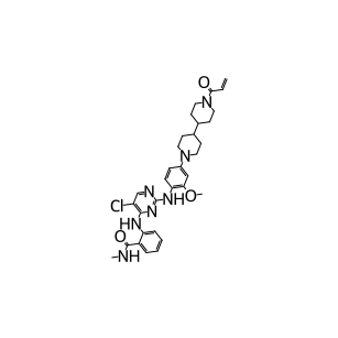 C=CC(=O)N1CCC(C2CCN(c3ccc(Nc4ncc(Cl)c(Nc5ccccc5C(=O)NC)n4)c(OC)c3)CC2)CC1